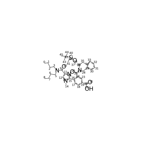 CCCCN(CCCC)C(=O)c1cn(C)c(-c2ccc(C(=O)O)cc2C(=O)N2Cc3ccccc3C[C@H]2CO[Si](C)(C)C(C)(C)C)n1